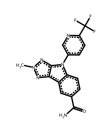 Cn1nc2c3cc(C(N)=O)ccc3n(-c3ccc(C(F)(F)F)nc3)c2n1